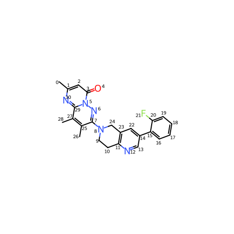 Cc1cc(=O)n2nc(N3CCc4ncc(-c5ccccc5F)cc4C3)c(C)c(C)c2n1